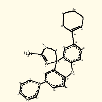 NC1=N[C@@]2(CO1)c1cc(-c3cccnc3)ccc1Oc1cnc(C3=CCCCC3)cc12